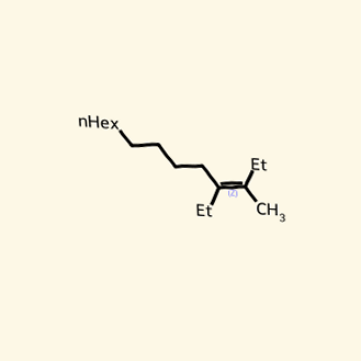 [CH2]C/C(C)=C(/CC)CCCCCCCCCC